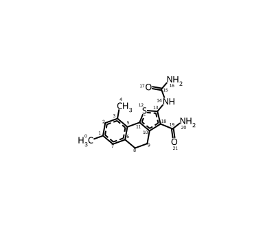 Cc1cc(C)c2c(c1)CCc1c-2sc(NC(N)=O)c1C(N)=O